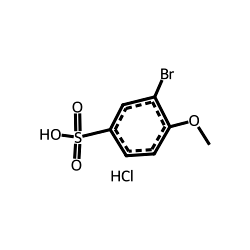 COc1ccc(S(=O)(=O)O)cc1Br.Cl